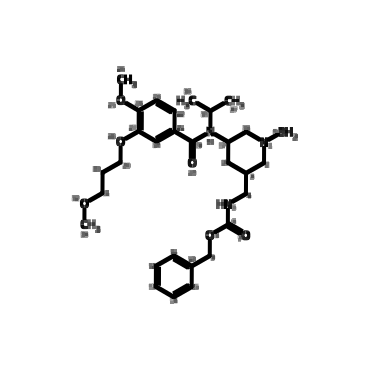 BN1CC(CNC(=O)OCc2ccccc2)CC(N(C(=O)c2ccc(OC)c(OCCCOC)c2)C(C)C)C1